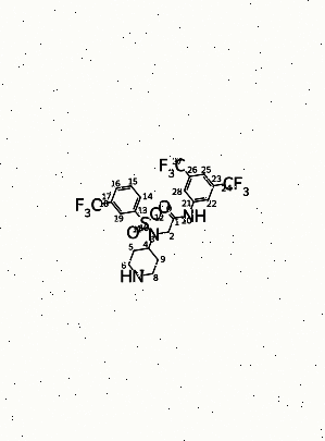 O=C(CN(C1CCNCC1)S(=O)(=O)c1cccc(C(F)(F)F)c1)Nc1cc(C(F)(F)F)cc(C(F)(F)F)c1